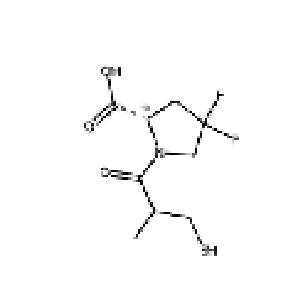 CC(CS)C(=O)N1CC(F)(F)C[C@H]1C(=O)O